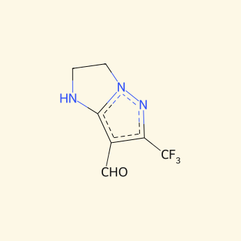 O=Cc1c(C(F)(F)F)nn2c1NCC2